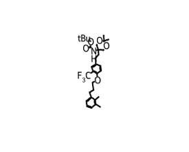 Cc1cccc(CCCOc2ccc(CCC3(NC(=O)OC(C)(C)C)COC(C)(C)OC3)cc2C(F)(F)F)c1C